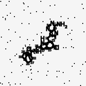 Nc1ncnc2c1ncn2Cc1cc(Cl)cc2cc(CNC(=O)C34CC5CC(CC(C5)C3)C4)[nH]c12